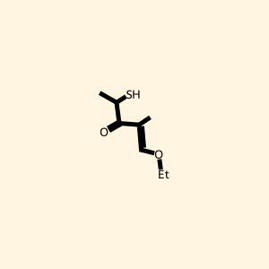 CCO/C=C(\C)C(=O)C(C)S